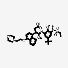 CCS(=O)(=O)Nc1cc(C(C)(C)C)cc(N=C(OC)C(CC(=O)O)c2ccc(OCCN3CCOCC3)c3ccccc23)c1OC